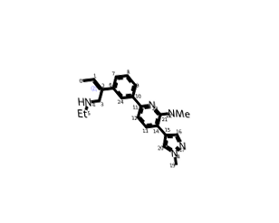 C/C=C(\CNCC)c1cccc(-c2ccc(-c3cnn(C)c3)c(NC)n2)c1